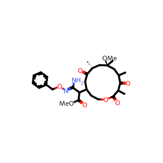 COC(=O)C(/C(N)=N/OCc1ccccc1)C1CCOC(=O)C(C)C(=O)C(C)C[C@](C)(OC)C[C@@H](C)C(=O)C1